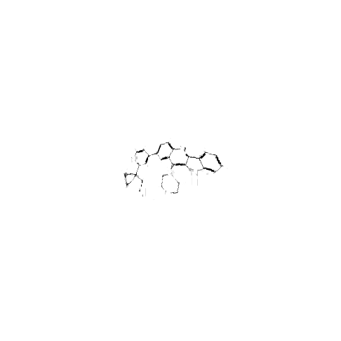 NCC1(c2cc(-c3ccc4nc5c([nH]c6ccccc65)c(N5CCOCC5)c4c3)ccn2)CC1